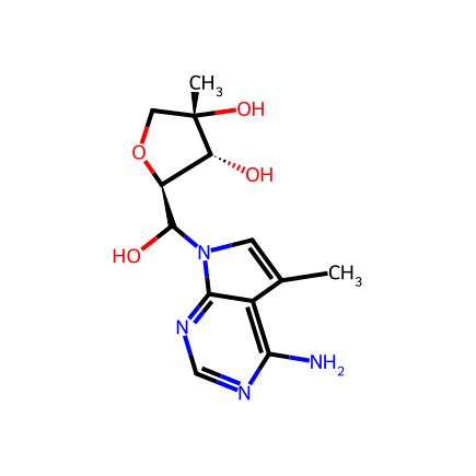 Cc1cn(C(O)[C@H]2OC[C@](C)(O)[C@@H]2O)c2ncnc(N)c12